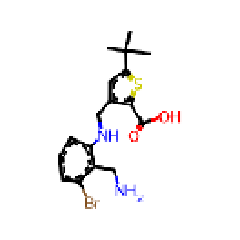 CC(C)(C)c1cc(CNc2cccc(Br)c2CN)c(C(=O)O)s1